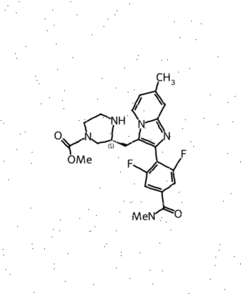 CNC(=O)c1cc(F)c(-c2nc3cc(C)ccn3c2C[C@H]2CN(C(=O)OC)CCN2)c(F)c1